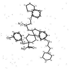 C[C@@H](COc1ccnc2c1CCCC2)CC1Cc2ccc(OCCN3CCOCC3)cc2C12CCC(Nc1cccc(Cl)c1)(C(=O)O)CC2